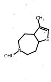 CC1=CSC2CCN(C=O)CCC12